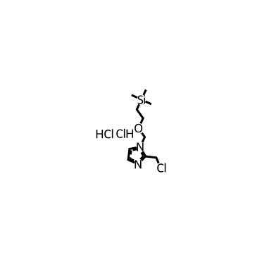 C[Si](C)(C)CCOCn1ccnc1CCl.Cl.Cl